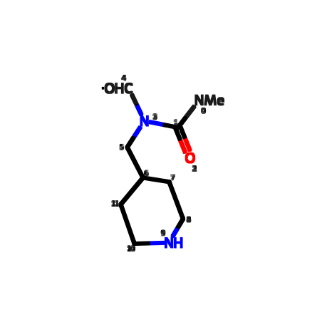 CNC(=O)N([C]=O)CC1CCNCC1